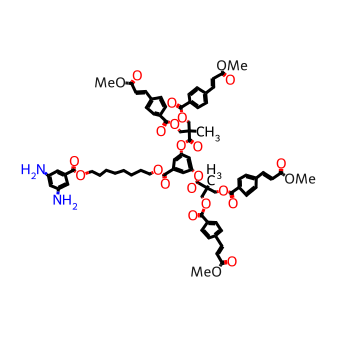 COC(=O)/C=C/c1ccc(C(=O)OCC(C)(COC(=O)c2ccc(/C=C/C(=O)OC)cc2)C(=O)Oc2cc(OC(=O)C(C)(COC(=O)c3ccc(/C=C/C(=O)OC)cc3)COC(=O)c3ccc(/C=C/C(=O)OC)cc3)cc(C(=O)OCCCCCCCCOC(=O)c3cc(N)cc(N)c3)c2)cc1